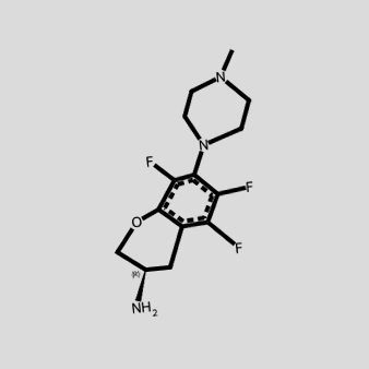 CN1CCN(c2c(F)c(F)c3c(c2F)OC[C@H](N)C3)CC1